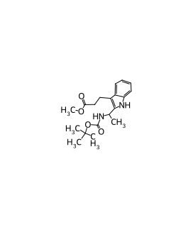 COC(=O)CCc1c(C(C)NC(=O)OC(C)(C)C)[nH]c2ccccc12